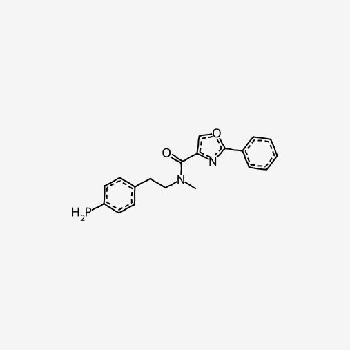 CN(CCc1ccc(P)cc1)C(=O)c1coc(-c2ccccc2)n1